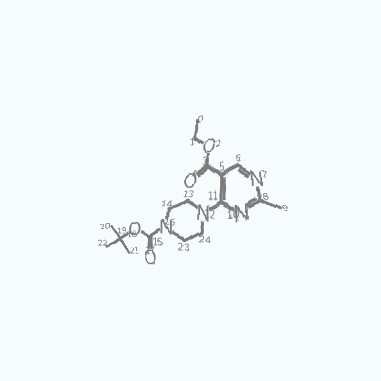 CCOC(=O)c1cnc(C)nc1N1CCN(C(=O)OC(C)(C)C)CC1